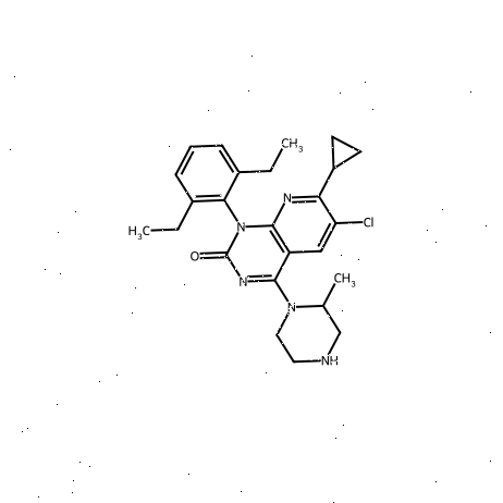 CCc1cccc(CC)c1-n1c(=O)nc(N2CCNCC2C)c2cc(Cl)c(C3CC3)nc21